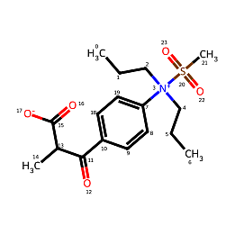 CCC[N+](CCC)(c1ccc(C(=O)C(C)C(=O)[O-])cc1)S(C)(=O)=O